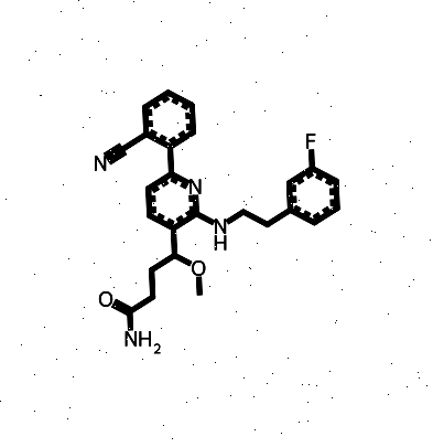 COC(CCC(N)=O)c1ccc(-c2ccccc2C#N)nc1NCCc1cccc(F)c1